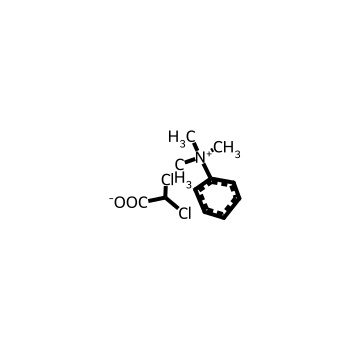 C[N+](C)(C)c1ccccc1.O=C([O-])C(Cl)Cl